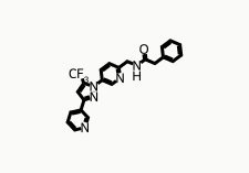 O=C(Cc1ccccc1)NCc1ccc(-n2nc(-c3cccnc3)cc2C(F)(F)F)cn1